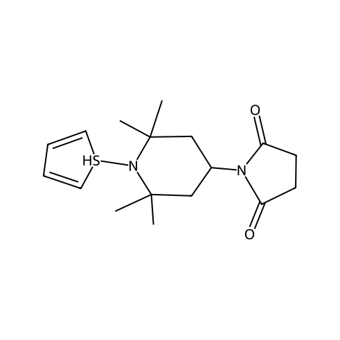 CC1(C)CC(N2C(=O)CCC2=O)CC(C)(C)N1[SH]1C=CC=C1